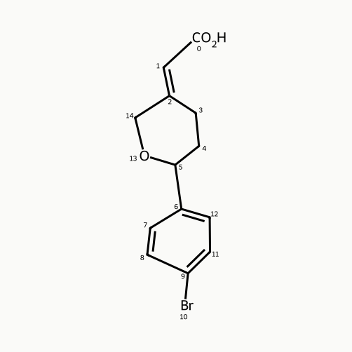 O=C(O)/C=C1\CCC(c2ccc(Br)cc2)OC1